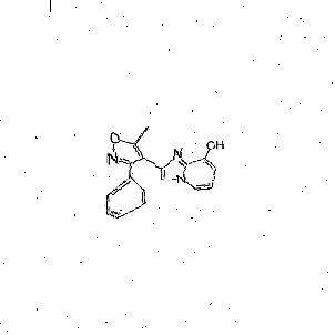 Cc1onc(-c2ccccc2)c1-c1cn2cccc(O)c2n1